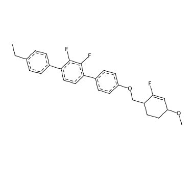 CCc1ccc(-c2ccc(-c3ccc(OCC4CCC(OC)C=C4F)cc3)c(F)c2F)cc1